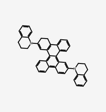 C1=C(N2CCCc3ccccc32)CCc2c1c1c3ccccc3c3ccc(N4CCCc5ccccc54)cc3c1c1ccccc21